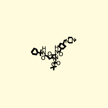 CN1CCN(Cc2ccc(C(=O)Nc3nn(C(=O)OC(C)(C)C)c4cc(C(=O)NC(C)(C)c5ccccc5)oc34)cc2)CC1